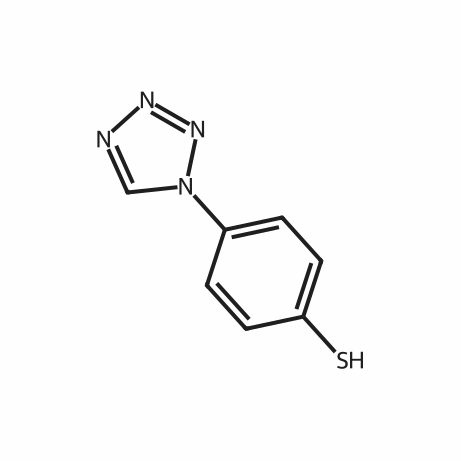 Sc1ccc(-n2cnnn2)cc1